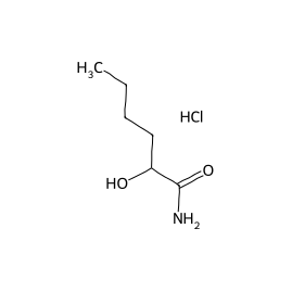 CCCCC(O)C(N)=O.Cl